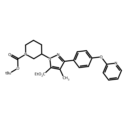 CCOC(=O)c1c(C)c(-c2ccc(Oc3ccccn3)cc2)nn1C1CCCN(C(=O)OC(C)(C)C)C1